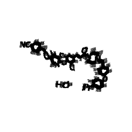 Cc1cc(C=CC(=O)N2CCN(Cc3ccc(Oc4ccc(C(C)C)cc4)cc3)CC2)cc(Cl)c1Oc1ccc(OCc2ccc(C#N)cc2)cn1.Cl